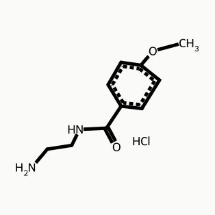 COc1ccc(C(=O)NCCN)cc1.Cl